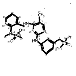 CC(C)P(=O)(Cc1cccc(Nc2ncc(C(F)(F)F)c(NCc3cccnc3N(C)S(C)(=O)=O)n2)c1)C(C)C